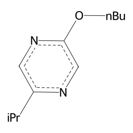 CCCCOc1cnc(C(C)C)cn1